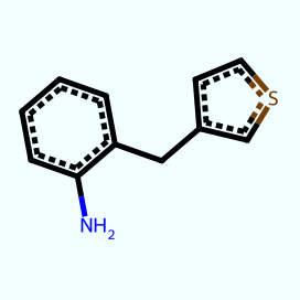 Nc1ccccc1Cc1ccsc1